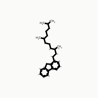 CC(C)CCCC(C)CCCC(C)CCc1cccc2c1Cc1ccccc1-2